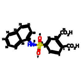 O=C(O)c1ccc(S(=O)(=O)Nc2cccc3ccccc23)cc1C(=O)O